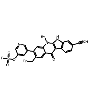 C#Cc1ccc2c(c1)[nH]c1c2c(=O)c2cc(CC(C)C)c(-c3cncc(OS(=O)(=O)F)c3)cc2n1C(C)C